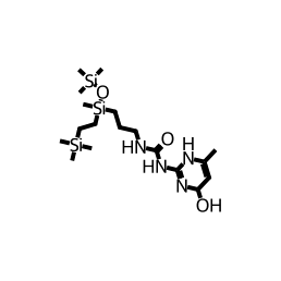 CC1=CC(O)N=C(NC(=O)NCCC[Si](C)(CC[Si](C)(C)C)O[Si](C)(C)C)N1